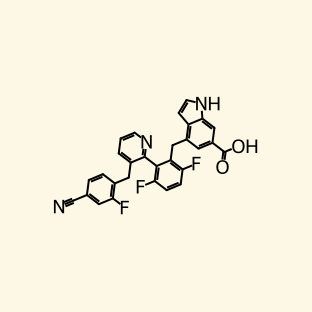 N#Cc1ccc(Cc2cccnc2-c2c(F)ccc(F)c2Cc2cc(C(=O)O)cc3[nH]ccc23)c(F)c1